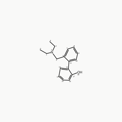 CCN(CC)Cc1ccccc1-c1ccccc1O